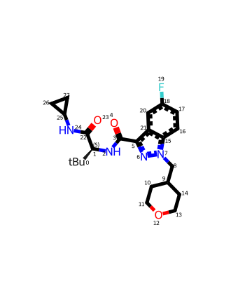 CC(C)(C)[C@H](NC(=O)c1nn(CC2CCOCC2)c2ccc(F)cc12)C(=O)NC1CC1